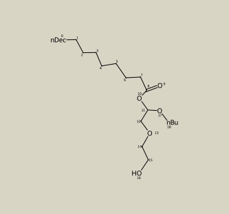 CCCCCCCCCCCCCCCCCC(=O)OC(COCCO)OCCCC